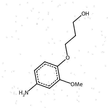 COc1cc(N)ccc1OCCCO